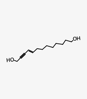 OCC#CC=CCCCCCCCCO